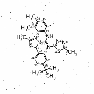 CC1=NN(/C(=N/c2nnc(C)s2)Nc2ccc(C)c(C)c2)C(c2ccc(C(C)(C)C)cc2)S1